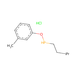 Cc1cccc(OPCCC(C)C)c1.Cl